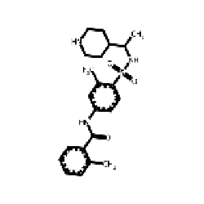 Cc1ccccc1C(=O)Nc1ccc(S(=O)(=O)NC(C)C2CCNCC2)c(C(F)(F)F)c1